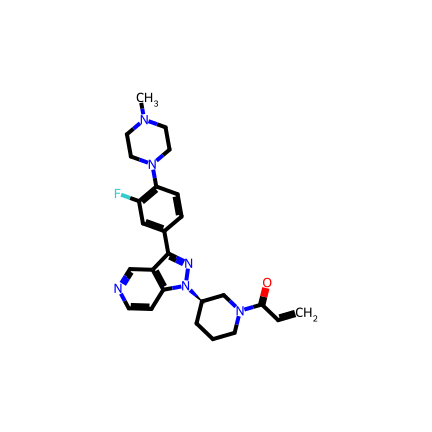 C=CC(=O)N1CCC[C@@H](n2nc(-c3ccc(N4CCN(C)CC4)c(F)c3)c3cnccc32)C1